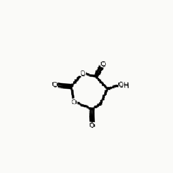 O=C1CC(O)C(=O)OC(=O)O1